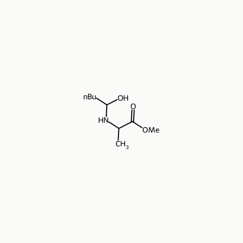 CCCCC(O)NC(C)C(=O)OC